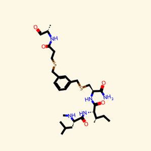 CC[C@H](C)[C@H](NC(=O)[C@H](CC(C)C)NC)C(=O)N[C@@H](CSCc1cccc(CSCCC(=O)N[C@@H](C)C=O)c1)C(N)=O